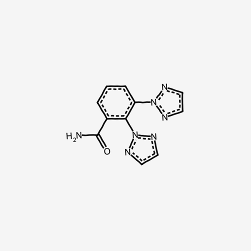 NC(=O)c1cccc(-n2nccn2)c1-n1nccn1